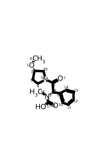 CO[C@H]1CCN(C(=O)[C@H](c2ccccc2)N(C)C(=O)O)C1